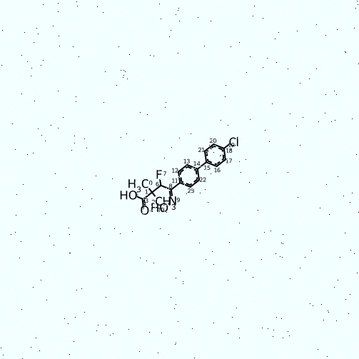 CC(C)(C(=O)O)C(F)/C(=N\O)c1ccc(-c2ccc(Cl)cc2)cc1